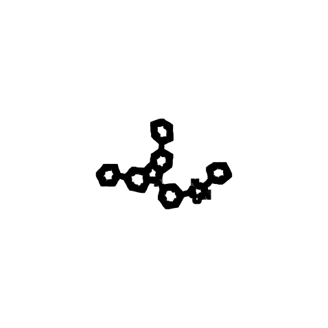 c1ccc(-c2ccc3c(c2)c2cc(-c4ccccc4)ccc2n3-c2cccc(-c3nc(-c4ccccc4)no3)c2)cc1